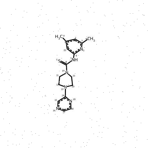 Cc1cc(C)nc(NC(=S)N2CCN(c3cnccn3)CC2)c1